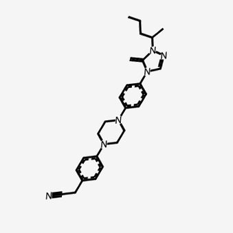 C=C1N(c2ccc(N3CCN(c4ccc(CC#N)cc4)CC3)cc2)C=NN1C(C)CCC